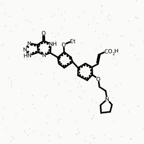 CCOc1cc(-c2ccc(OCCN3CCCC3)c(C=CC(=O)O)c2)ccc1-c1nc2[nH]nnc2c(=O)[nH]1